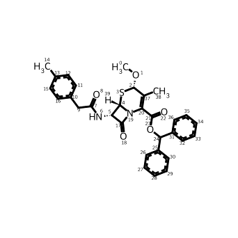 CO[C@H]1S[C@H]2[C@@H](NC(=O)Cc3ccc(C)cc3)C(=O)N2C(C(=O)OC(c2ccccc2)c2ccccc2)=C1C